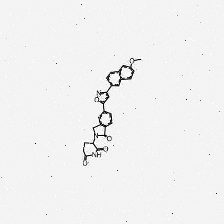 COc1ccc2cc(-c3cc(-c4ccc5c(c4)CN(C4CCC(=O)NC4=O)C5=O)on3)ccc2c1